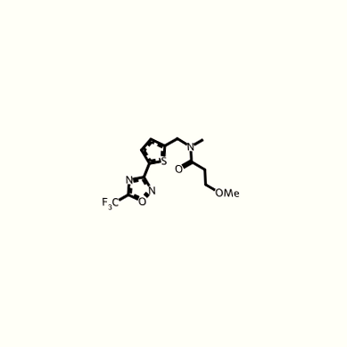 COCCC(=O)N(C)Cc1ccc(-c2noc(C(F)(F)F)n2)s1